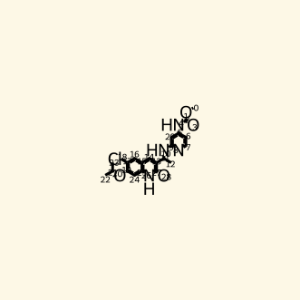 COC(=O)Nc1ccnc(NC(C)c2cc3cc(Cl)c(OC(C)C)cc3[nH]c2=O)c1